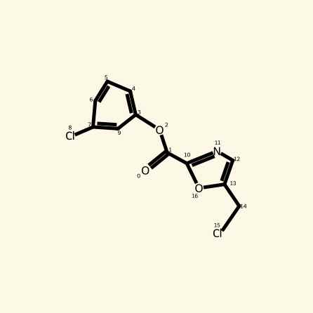 O=C(Oc1cccc(Cl)c1)c1ncc(CCl)o1